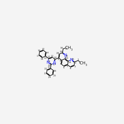 CCc1ccc2ccc3c(-c4cc(-c5ccccc5)nc(-c5ccccc5)n4)cc(CC)nc3c2n1